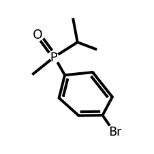 CC(C)P(C)(=O)c1ccc(Br)cc1